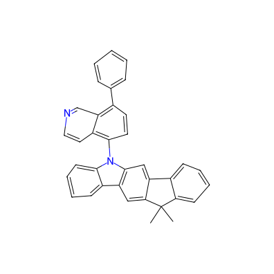 CC1(C)c2ccccc2-c2cc3c(cc21)c1ccccc1n3-c1ccc(-c2ccccc2)c2cnccc12